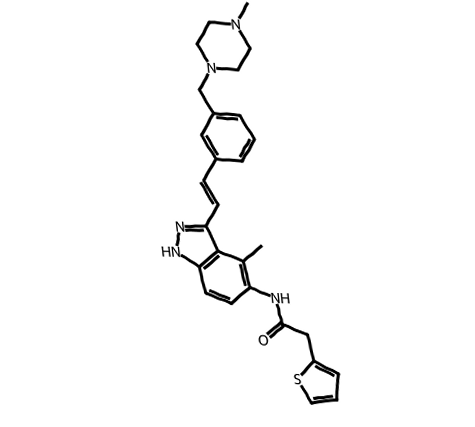 Cc1c(NC(=O)Cc2cccs2)ccc2[nH]nc(/C=C/c3cccc(CN4CCN(C)CC4)c3)c12